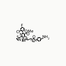 CCN(CCN1CCN(c2ccc(CN)cc2)C1=O)CC1=C(C(=O)OC)[C@H](c2ccc(F)cc2Cl)N=C(c2nccs2)N1